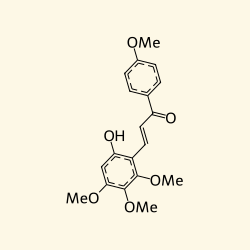 COc1ccc(C(=O)C=Cc2c(O)cc(OC)c(OC)c2OC)cc1